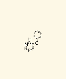 Cc1ccc(OP2NN=NP=P2)cc1